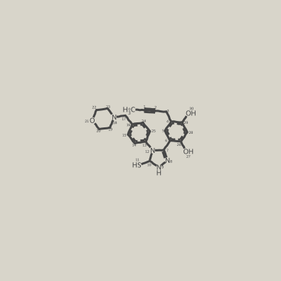 CC#CCc1cc(C2=NNC(S)N2c2ccc(CN3CCOCC3)cc2)c(O)cc1O